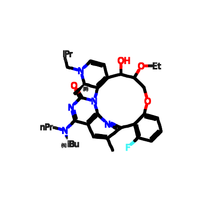 CCCN(c1nc(=O)n2c3nc(c(C)cc13)-c1c(F)cccc1OCC(OCC)C(O)C1=C2[C@@H](C)N(CC(C)C)C=C1)[C@@H](C)CC